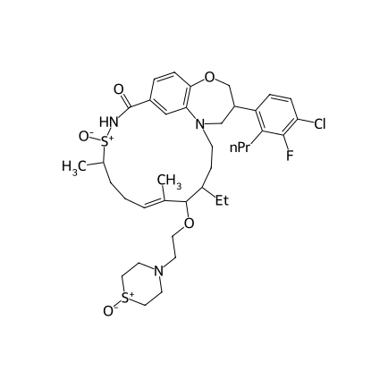 CCCc1c(C2COc3ccc4cc3N(CCC(CC)C(OCCN3CC[S+]([O-])CC3)/C(C)=C/CCC(C)[S+]([O-])NC4=O)C2)ccc(Cl)c1F